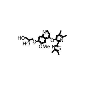 COc1cc2c(Oc3cc(C)c(C)nc3-c3nc(C)c(C)s3)ccnc2cc1OCC(O)CO